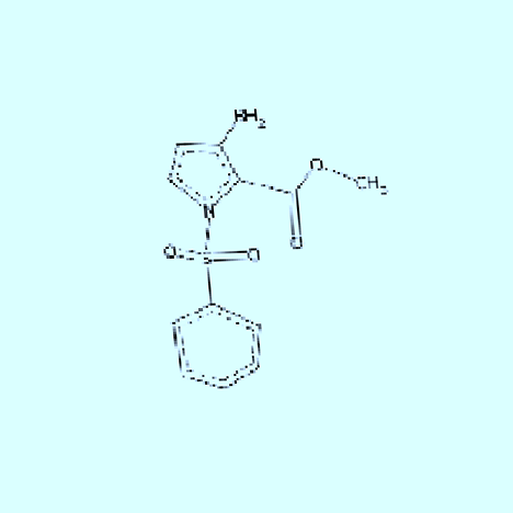 Bc1ccn(S(=O)(=O)c2ccccc2)c1C(=O)OC